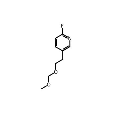 COCOCCc1ccc(F)nc1